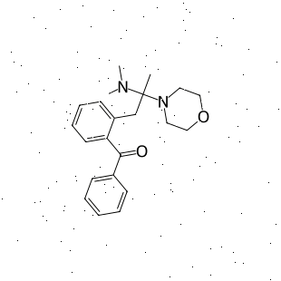 CN(C)C(C)(Cc1ccccc1C(=O)c1ccccc1)N1CCOCC1